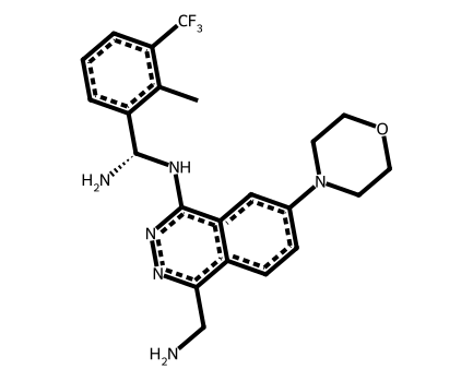 Cc1c([C@@H](N)Nc2nnc(CN)c3ccc(N4CCOCC4)cc23)cccc1C(F)(F)F